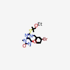 CCOCC(C)(C)Sc1nc2c(c(=O)n(C)c(=O)n2C)n1Cc1cccc(Br)c1